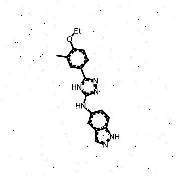 CCOc1ccc(-c2nnc(Nc3ccc4[nH]ncc4c3)[nH]2)cc1C